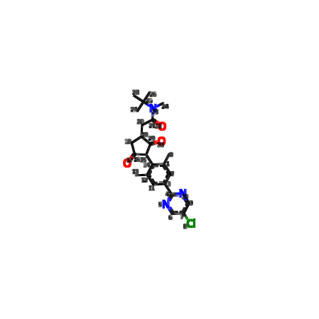 Cc1cc(-c2ncc(Cl)cn2)cc(C)c1C1C(=O)CC(CC(=O)N(C)C(C)(C)C)C1=O